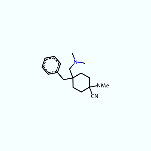 CNC1(C#N)CCC(Cc2ccccc2)(CN(C)C)CC1